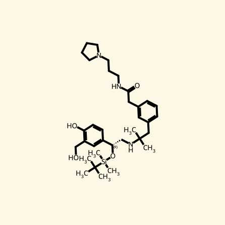 CC(C)(Cc1cccc(CC(=O)NCCCN2CCCC2)c1)NC[C@H](O[Si](C)(C)C(C)(C)C)c1ccc(O)c(CO)c1